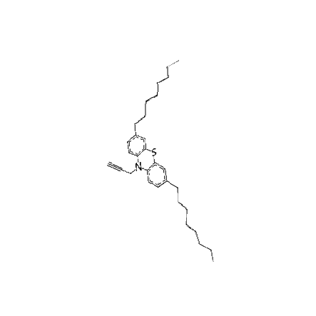 C#CCN1c2ccc(CCCCCCCC)cc2Sc2cc(CCCCCCCC)ccc21